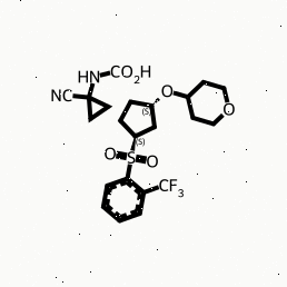 N#CC1(NC(=O)O)CC1.O=S(=O)(c1ccccc1C(F)(F)F)[C@H]1CC[C@H](OC2CCOCC2)C1